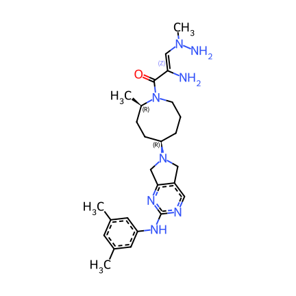 Cc1cc(C)cc(Nc2ncc3c(n2)CN([C@@H]2CCCN(C(=O)/C(N)=C/N(C)N)[C@H](C)CC2)C3)c1